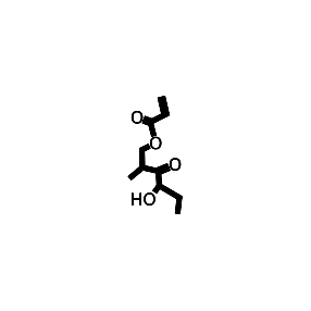 C=CC(=O)OCC(C)C(=O)C(O)CC